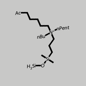 CCCCC[N+](CCCC)(CCCCCC(C)=O)CCC[Si](C)(C)O[SiH3]